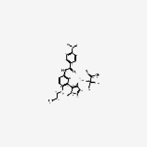 CN(C)c1ccc(C(=O)Nc2ccc(OCCN)c(-c3c(Cl)cnn3C)c2)cc1.O=C(O)C(F)(F)F